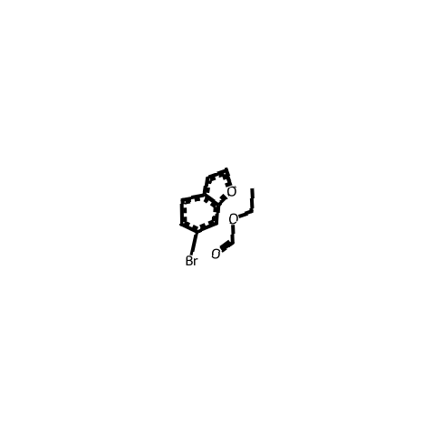 Brc1ccc2ccoc2c1.CCOC=O